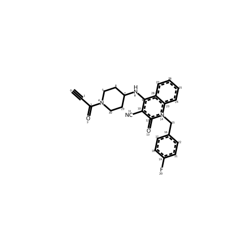 C#CC(=O)N1CCC(Nc2c(C#N)c(=O)n(Cc3ccc(F)cc3)c3ccccc23)CC1